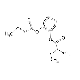 CCCC(=O)Oc1ccccc1OC(=O)C(C)CC